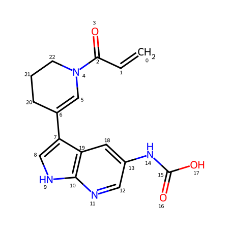 C=CC(=O)N1C=C(c2c[nH]c3ncc(NC(=O)O)cc23)CCC1